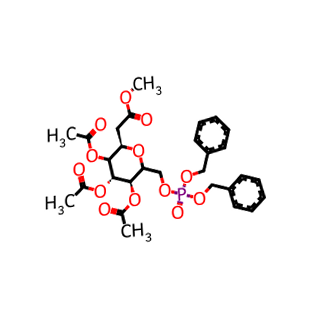 COC(=O)C[C@H]1OC(COP(=O)(OCc2ccccc2)OCc2ccccc2)[C@@H](OC(C)=O)[C@H](OC(C)=O)C1OC(C)=O